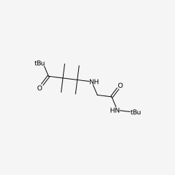 CC(C)(C)NC(=O)CNC(C)(C)C(C)(C)C(=O)C(C)(C)C